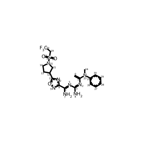 C=C(/N=C(N)\N=C(/N)c1noc(C2CCN(S(=O)(=O)CC(F)(F)F)C2)n1)N(C)c1ccccc1